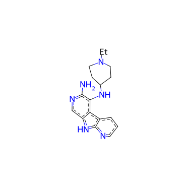 CCN1CCC(Nc2c(N)ncc3[nH]c4ncccc4c23)CC1